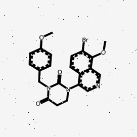 COc1ccc(CN2C(=O)CCN(c3cncc4c(OC)c(Br)ccc34)C2=O)cc1